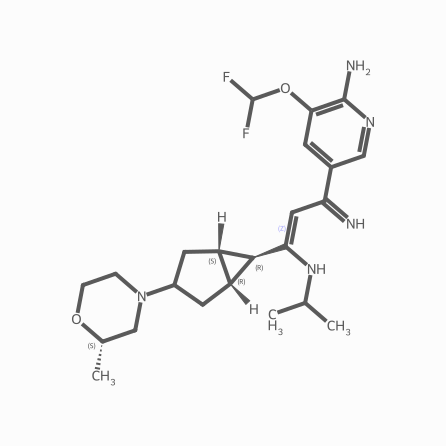 CC(C)N/C(=C\C(=N)c1cnc(N)c(OC(F)F)c1)[C@H]1[C@@H]2CC(N3CCO[C@@H](C)C3)C[C@@H]21